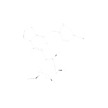 Cc1c(C2O[C@H](CO)[C@H](O)[C@H](O)[C@@H]2O)cc(Cc2ccc(C(C)C)cc2)c2c1CCC2